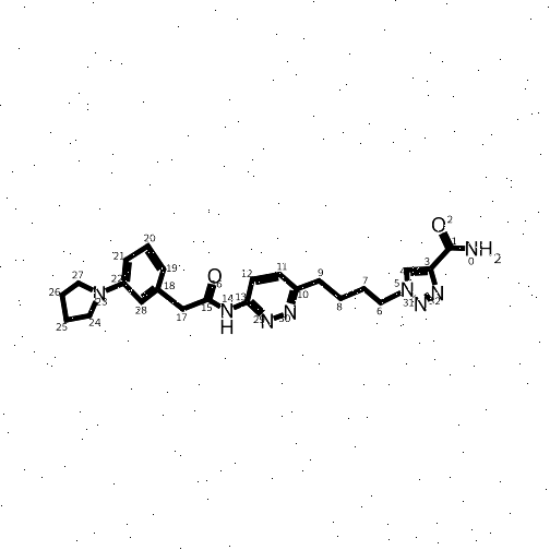 NC(=O)c1cn(CCCCc2ccc(NC(=O)Cc3cccc(N4CCCC4)c3)nn2)nn1